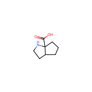 O=C(O)C12CCCC1CCN2